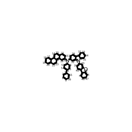 c1ccc(-c2ccc(N(c3ccc4ccc5c6ccccc6ccc5c4c3)c3ccc4c5ccccc5n(-c5ccc6c(c5)oc5ccccc56)c4c3)cc2)cc1